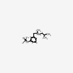 CC(C)CNC(C)Cc1cccc(SC(F)(F)F)c1